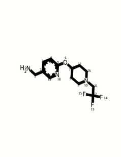 NCc1ccc(OC2CCN(CC(F)(F)F)CC2)nc1